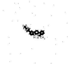 C[C@@H](NC1CCCc2c1[nH]c1ccc(-c3cnc(C(F)(F)F)nc3)cc21)c1ccccc1